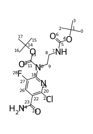 CC(C)(C)OC(=O)NCCN(C(=O)OC(C)(C)C)c1nc(Cl)c(C(N)=O)cc1F